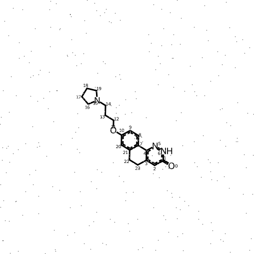 O=c1cc2c(n[nH]1)-c1ccc(OCCCN3CCCC3)cc1CC2